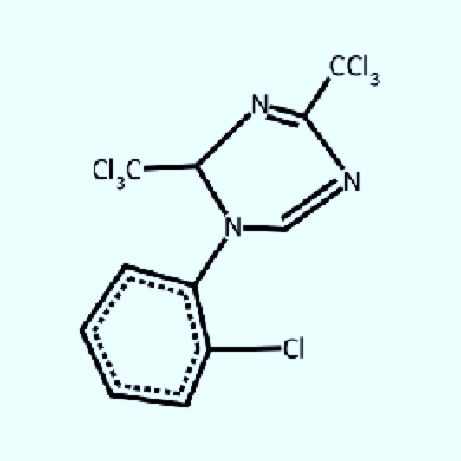 Clc1ccccc1N1C=NC(C(Cl)(Cl)Cl)=NC1C(Cl)(Cl)Cl